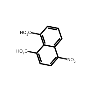 O=C(O)c1cccc2c([N+](=O)[O-])ccc(C(=O)O)c12